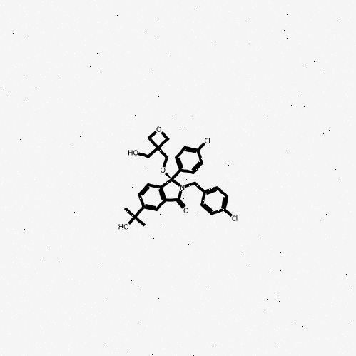 CC(C)(O)c1ccc2c(c1)C(=O)N(Cc1ccc(Cl)cc1)[C@@]2(OCC1(CO)COC1)c1ccc(Cl)cc1